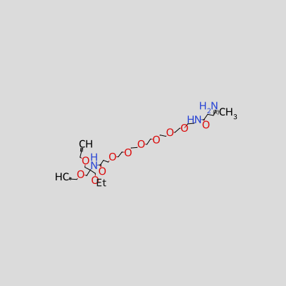 C#CCOCC(COCC)(COCC#C)NC(=O)CCOCCOCCOCCOCCOCCOCCNC(=O)CC[C@@H](C)N